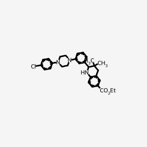 CCOC(=O)c1ccc2c(c1)CC(C)(C)C(c1cccc(N3CCN(c4ccc(Cl)cc4)CC3)c1)N2